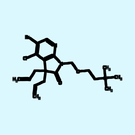 C=CCC1(CC=C)C(=O)N(COCC[Si](C)(C)C)c2ncc(Br)c(Cl)c21